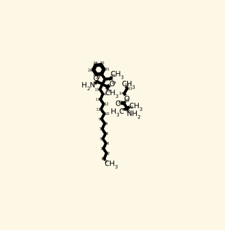 CCCCCCCCCCCCCCCCC(C(C)=O)(C(N)=O)C(CC)c1ccccc1.CCCOC(=O)C(C)(C)N